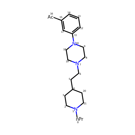 CCCN1CCC(CCN2CCN(c3cccc(C(C)=O)c3)CC2)CC1